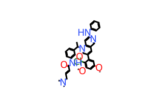 COc1cc(OC)c(Cl)c(-c2cc3cnc(Nc4ccccc4)cc3n(C(C)c3cccc(NC(=O)/C=C/CN(C)C)c3)c2=O)c1